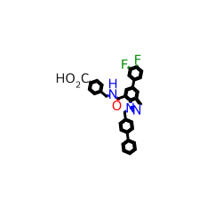 O=C(O)c1ccc(CNC(=O)c2cc(-c3ccc(F)c(F)c3)cc3cnn(Cc4ccc(-c5ccccc5)cc4)c23)cc1